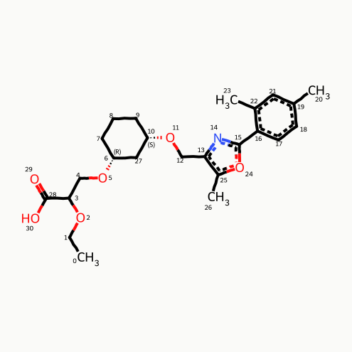 CCOC(CO[C@@H]1CCC[C@H](OCc2nc(-c3ccc(C)cc3C)oc2C)C1)C(=O)O